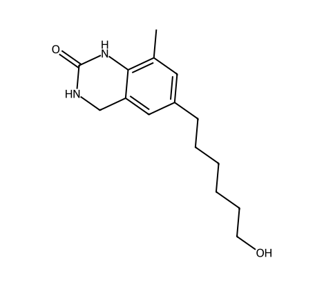 Cc1cc(CCCCCCO)cc2c1NC(=O)NC2